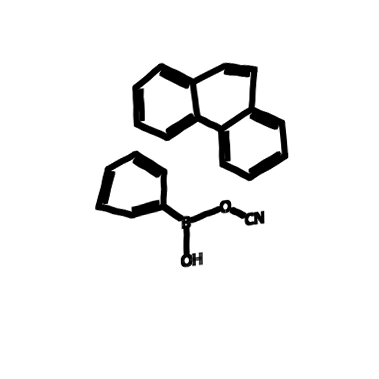 N#COB(O)c1ccccc1.c1ccc2c(c1)ccc1ccccc12